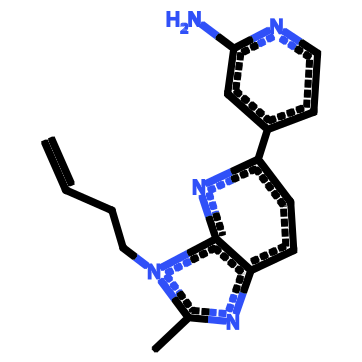 C=CCCn1c(C)nc2ccc(-c3ccnc(N)c3)nc21